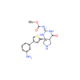 CC(C)(C)OC(=O)/N=C1/NC(=O)C2CNC[C@]2(c2cc(-c3cccc(N)c3)cs2)N1